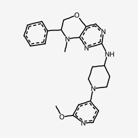 COc1cc(N2CCC(Nc3ncc4c(n3)N(C)C(c3ccccc3)CO4)CC2)ccn1